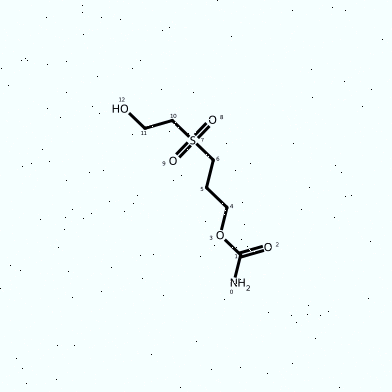 NC(=O)OCCCS(=O)(=O)CCO